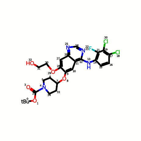 CC(C)(C)OC(=O)N1CCC(Oc2cc3c(Nc4ccc(Cl)c(Cl)c4F)ncnc3cc2OCCO)CC1